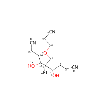 CCC(COCCC#N)(C(O)CCC#N)C(O)CCC#N